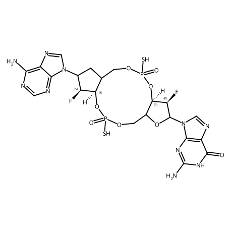 Nc1nc2c(ncn2C2OC3COP(=O)(S)O[C@@H]4C(COP(=O)(S)O[C@H]3[C@H]2F)CC(n2cnc3c(N)ncnc32)[C@@H]4F)c(=O)[nH]1